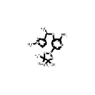 C[C@@H](Oc1cc(B2OC(C)(C)C(C)(C)O2)cnc1N)c1ccn(C)n1